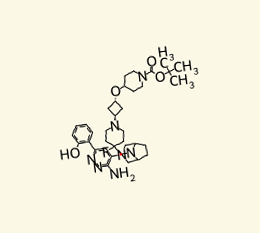 CC(C)(C)OC(=O)N1CCC(O[C@H]2C[C@H](N3CCC(F)(CN4C5CCC4CN(c4cc(-c6ccccc6O)nnc4N)C5)CC3)C2)CC1